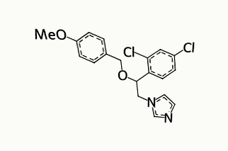 COc1ccc(COC(Cn2ccnc2)c2ccc(Cl)cc2Cl)cc1